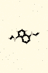 C=COc1cccc2c(OC=C)cccc12